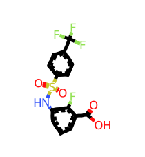 O=C(O)c1cccc(NS(=O)(=O)c2ccc(C(F)(F)F)cc2)c1F